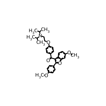 COc1ccc(-c2oc3cc(OC)ccc3c2C(=O)c2ccc(OCCN(C(C)C)C(C)C)cc2)cc1